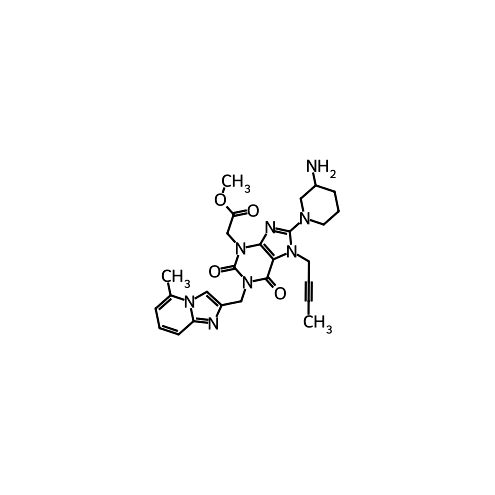 CC#CCn1c(N2CCCC(N)C2)nc2c1c(=O)n(Cc1cn3c(C)cccc3n1)c(=O)n2CC(=O)OC